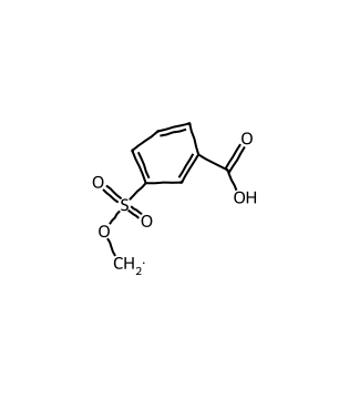 [CH2]OS(=O)(=O)c1cccc(C(=O)O)c1